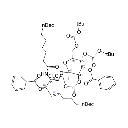 CCCCCCCCCCCCC/C=C/[C@@H](OC(=O)c1ccccc1)[C@H](CO[C@@]1(C)O[C@H](COC(=O)OC(C)(C)C)[C@H](OC(=O)OC(C)(C)C)[C@H](OC(=O)c2ccccc2)[C@H]1OC(=O)OCC(Cl)(Cl)Cl)NC(=O)CCCCCCCCCCCCCCC